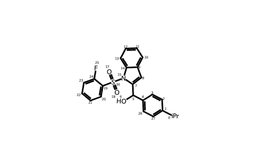 CC(C)c1ccc(C(O)c2cc3ccccc3n2S(=O)(=O)c2ccccc2F)cc1